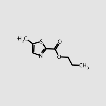 [CH2]c1cnc(C(=O)OCCC)s1